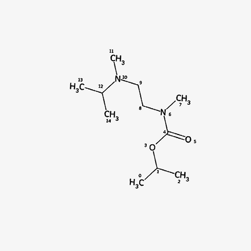 CC(C)OC(=O)N(C)CCN(C)C(C)C